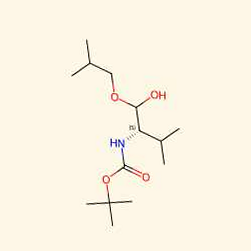 CC(C)COC(O)[C@@H](NC(=O)OC(C)(C)C)C(C)C